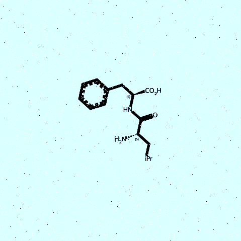 CC(C)C[C@H](N)C(=O)N[C@@H](Cc1ccccc1)C(=O)O